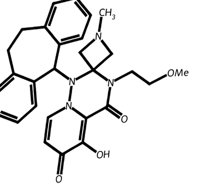 COCCN1C(=O)c2c(O)c(=O)ccn2N(C2c3ccccc3CCc3ccccc32)C12CN(C)C2